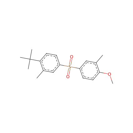 COc1ccc(S(=O)(=O)c2ccc(C(C)(C)C)c(C)c2)cc1C